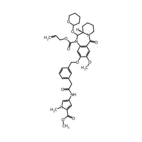 C=CCOC(=O)N1c2cc(OCc3cccc(CC(=O)Nc4cc(C(=O)OC)n(C)c4)c3)c(OC)cc2C(=O)N2CCCC[C@H]2C1OC1CCCCO1